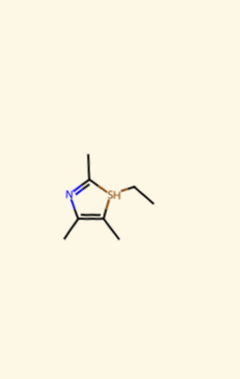 CC[SH]1C(C)=NC(C)=C1C